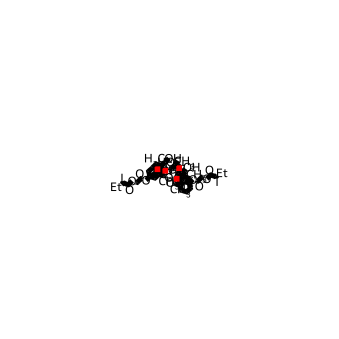 CCC(I)C(=O)OCC(=O)OC12CCCC(C(C)(C)OOC(C)(C)C34CC5CC(OC(=O)COC(=O)C(I)CC)(CC(C(C)(C)O)(C5)C3)C4)(C1)CC(CCC(C)(C)O)(C(C)(C)O)C2